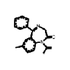 C=C(C)N1C(=O)CN=C(c2ccccc2)c2cc(C)ccc21